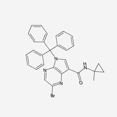 CC1(NC(=O)c2cn(C(c3ccccc3)(c3ccccc3)c3ccccc3)c3ncc(Br)nc23)CC1